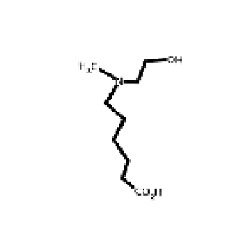 CN(CCO)CCCCCC(=O)O